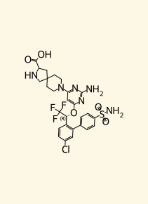 Nc1nc(O[C@H](c2ccc(Cl)cc2-c2ccc(S(N)(=O)=O)cc2)C(F)(F)F)cc(N2CCC3(CC2)CNC(C(=O)O)C3)n1